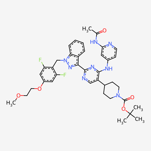 COCCOc1cc(F)c(Cn2nc(-c3ncc(C4CCN(C(=O)OC(C)(C)C)CC4)c(Nc4ccnc(NC(C)=O)c4)n3)c3ccccc32)c(F)c1